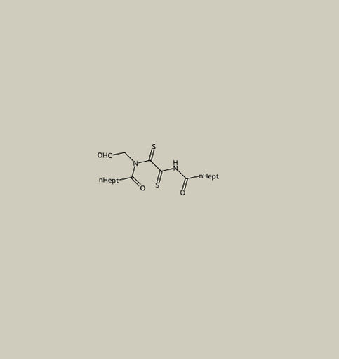 CCCCCCCC(=O)NC(=S)C(=S)N(CC=O)C(=O)CCCCCCC